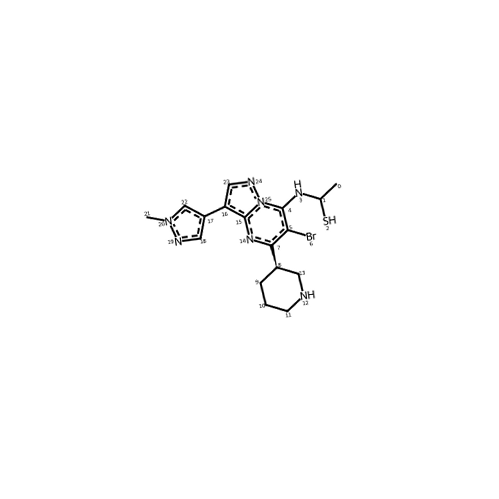 CC(S)Nc1c(Br)c([C@@H]2CCCNC2)nc2c(-c3cnn(C)c3)cnn12